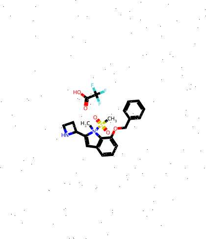 C[N+]1(S(C)(=O)=O)C(C2CCN2)=Cc2cccc(OCc3ccccc3)c21.O=C(O)C(F)(F)F